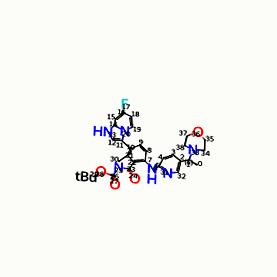 C[C@@H](c1ccc(Nc2ccc(C3=CNC4C=C(F)C=CN34)c3c2C(=O)N(C(=O)OC(C)(C)C)C3)nc1)N1CCOCC1